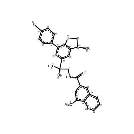 COc1cc(C(=O)NCC(C)(O)c2cc3c(c(-c4ccc(F)cc4)n2)OC[C@H]3C(F)(F)F)cc2cccnc12